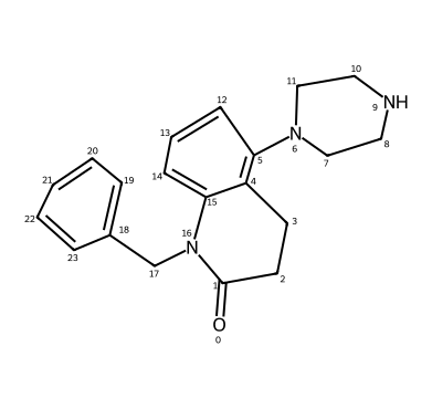 O=C1CCc2c(N3CCNCC3)cccc2N1Cc1ccccc1